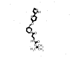 CC(C)(C)OC(=O)NCCC(=O)N1CCC[C@@H](COc2ccc(-c3ccn[nH]3)nc2)C1